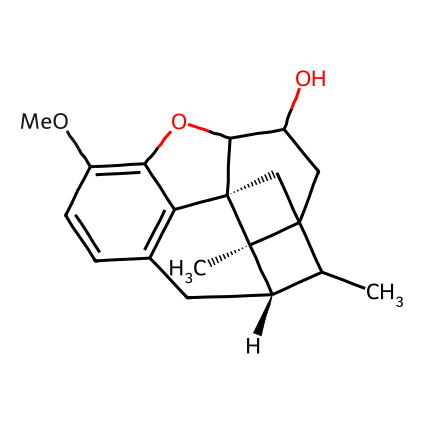 COc1ccc2c3c1OC1C(O)CC45C[C@]31[C@]4(C)[C@@H](C2)C5C